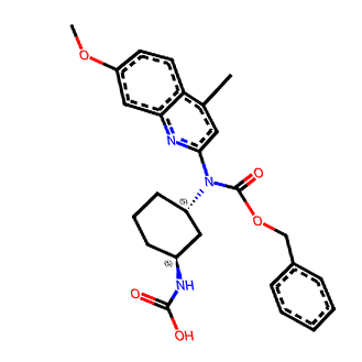 COc1ccc2c(C)cc(N(C(=O)OCc3ccccc3)[C@H]3CCC[C@H](NC(=O)O)C3)nc2c1